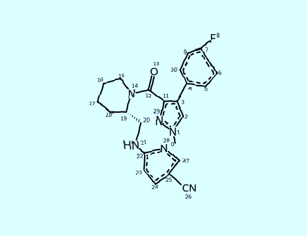 Cn1cc(-c2ccc(F)cc2)c(C(=O)N2CCCC[C@H]2CNc2ccc(C#N)cn2)n1